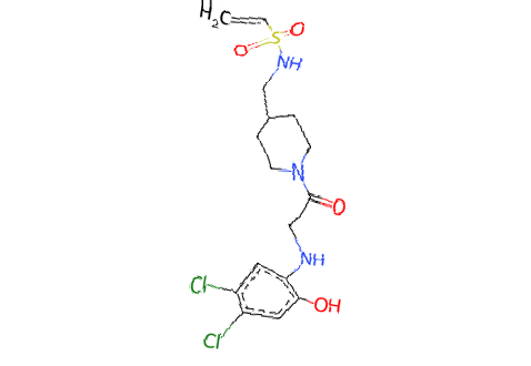 C=CS(=O)(=O)NCC1CCN(C(=O)CNc2cc(Cl)c(Cl)cc2O)CC1